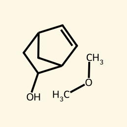 COC.OC1CC2C=CC1C2